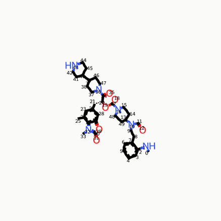 CNc1ccccc1CCN(C=O)C1CCN(C(=O)O[C@H](Cc2cc(C)c3c(c2)oc(=O)n3C)C(=O)N2CCC(C3CCNCC3)CC2)CC1